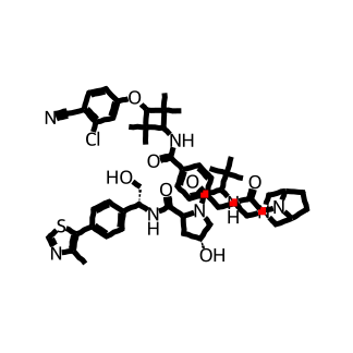 Cc1ncsc1-c1ccc([C@H](CO)NC(=O)C2C[C@@H](O)CN2C(=O)C(NC(=O)CN2C3CCC2CN(CCCc2ccc(C(=O)NC4C(C)(C)C(Oc5ccc(C#N)c(Cl)c5)C4(C)C)cc2)C3)C(C)(C)C)cc1